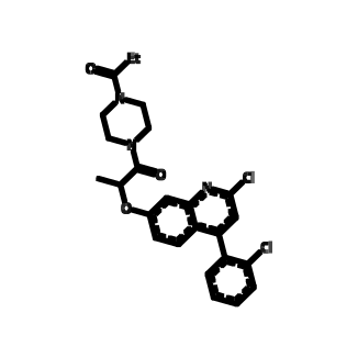 CCC(=O)N1CCN(C(=O)C(C)Oc2ccc3c(-c4ccccc4Cl)cc(Cl)nc3c2)CC1